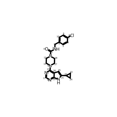 O=C(NCc1ccc(Cl)cc1)N1CCN(c2ncnc3[nH]c(C4CC4)cc23)CC1